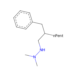 CCCCCC(CNN(C)C)Cc1ccccc1